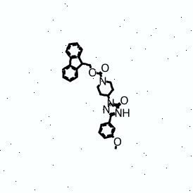 COc1cccc(-c2nn(C3CCN(C(=O)OCC4c5ccccc5-c5ccccc54)CC3)c(=O)[nH]2)c1